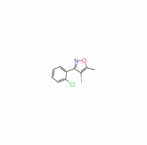 Cc1onc(-c2ccccc2Cl)c1I